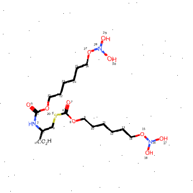 O=C(NC(CSC(=O)OCCCCCCON(O)O)C(=O)O)OCCCCCCON(O)O